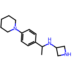 CC(NC1CNC1)c1ccc(N2CCCCC2)cc1